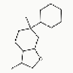 CC1COC2CC(C)(C3CCCCC3)CCC12